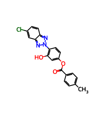 Cc1ccc(C(=O)Oc2ccc(-n3nc4ccc(Cl)cc4n3)c(O)c2)cc1